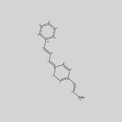 CC(=O)OC=CC1=CCC(=CC=Cc2ccccc2)C=C1